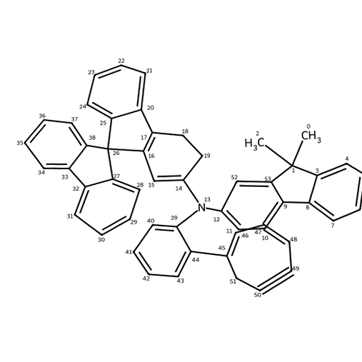 CC1(C)c2ccccc2-c2ccc(N(C3=CC4=C(CC3)c3ccccc3C43c4ccccc4-c4ccccc43)c3ccccc3C3=CC=CC#CC3)cc21